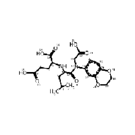 CC(C)CC(NC(CCC(=O)O)C(=O)O)C(=O)N(CC(=O)O)c1ccc2c(c1)OCCO2